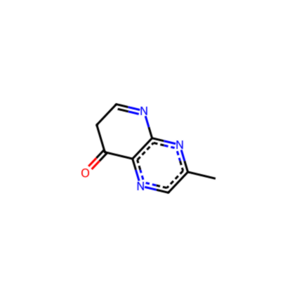 Cc1cnc2c(n1)N=CCC2=O